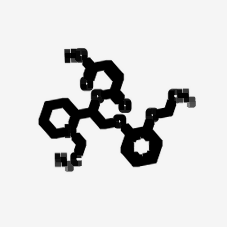 CCOc1ccccc1OCC(OC(=O)/C=C\C(=O)O)C1CCCCN1CC